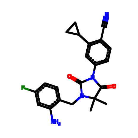 CC1(C)C(=O)N(c2ccc(C#N)c(C3CC3)c2)C(=O)N1Cc1ccc(F)cc1N